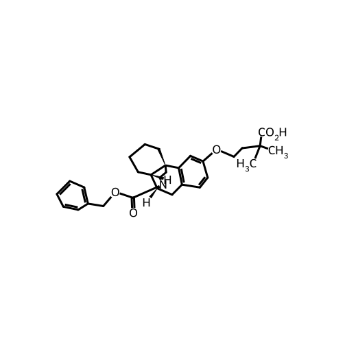 CC(C)(CCOc1ccc2c(c1)[C@@]13CCCC[C@H]1[C@@H](C2)N(C(=O)OCc1ccccc1)CC3)C(=O)O